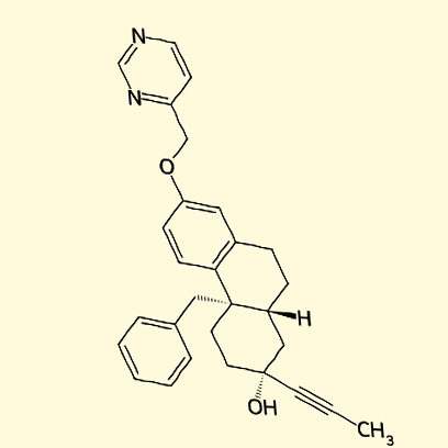 CC#C[C@@]1(O)CC[C@@]2(Cc3ccccc3)c3ccc(OCc4ccncn4)cc3CC[C@@H]2C1